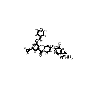 NS(=O)(=O)c1cnc(SC2CCN(C(=O)c3cc(OCC4CCOCC4)nc(C4CC4)c3)CC2)c(F)c1